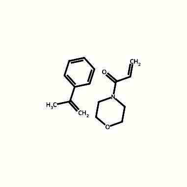 C=C(C)c1ccccc1.C=CC(=O)N1CCOCC1